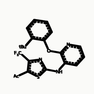 CC(=O)c1sc(Nc2cccnc2Oc2ccccc2C(C)(C)C)nc1C(F)(F)F